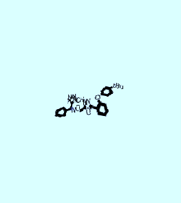 Cn1nnnc1/C(=N\OCc1nnc(-c2ccccc2Oc2ccc(C(C)(C)C)cc2)o1)c1ccccc1